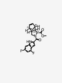 COC(=O)[C@@H]1[C@@H]2[C@H](CN1C(=O)c1cc3c(F)cc(F)cc3[nH]1)[C@@H]1C=C[C@H]2C1